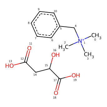 C[N+](C)(C)Cc1ccccc1.O=C(O)CC(O)C(=O)O